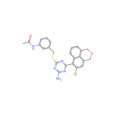 CC(=O)Nc1cccc(CSc2nc(N)nc(-c3c(Cl)cc4c5c(cccc35)COC4)n2)c1